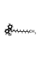 CCCCCCCCCCCCn1c2ccccc2c2cccc(Br)c21